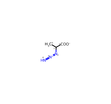 CC(N=[N+]=N)C(=O)[O-]